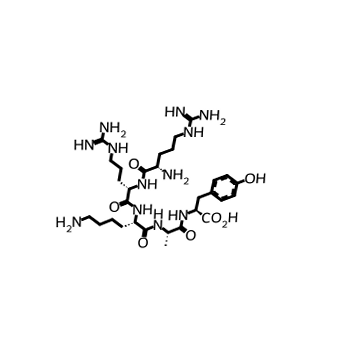 C[C@H](NC(=O)[C@H](CCCCN)NC(=O)[C@H](CCCNC(=N)N)NC(=O)[C@@H](N)CCCNC(=N)N)C(=O)N[C@@H](Cc1ccc(O)cc1)C(=O)O